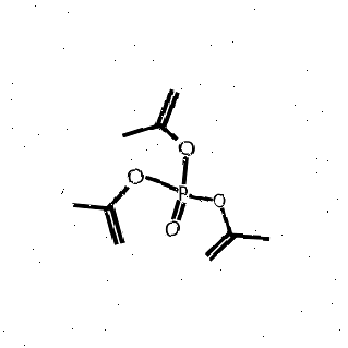 C=C(C)OP(=O)(OC(=C)C)OC(=C)C